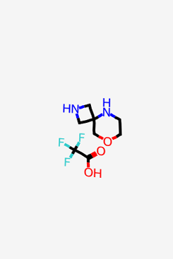 C1COCC2(CNC2)N1.O=C(O)C(F)(F)F